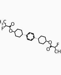 C[C@H](F)C(=O)O[C@H]1CC[C@H](c2ccc([C@H]3CC[C@H](OC(=O)[C@H](C)F)CC3)cc2)CC1